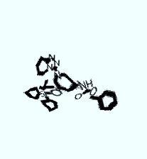 CC(C)(C)[Si](O[C@@H]1C[C@@H](NC(=O)OCc2ccccc2)CN(c2nnc3ccccn23)C1)(c1ccccc1)c1ccccc1